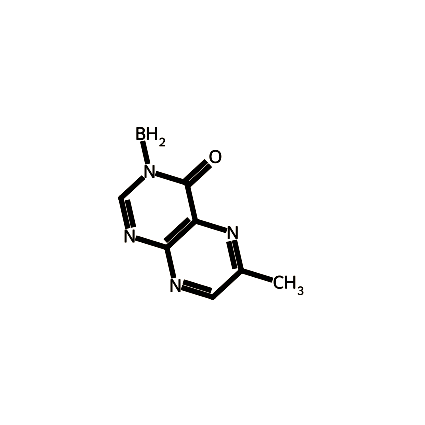 Bn1cnc2ncc(C)nc2c1=O